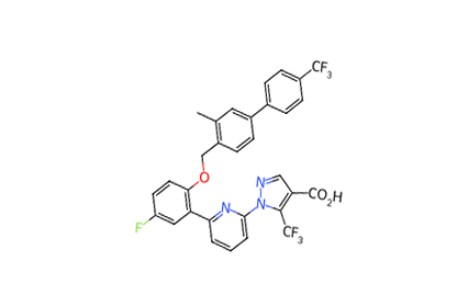 Cc1cc(-c2ccc(C(F)(F)F)cc2)ccc1COc1ccc(F)cc1-c1cccc(-n2ncc(C(=O)O)c2C(F)(F)F)n1